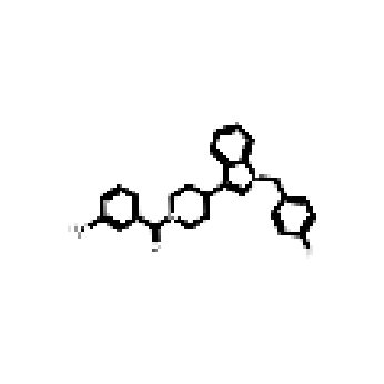 Cc1cccc(C(=O)N2CCC(c3cn(Cc4ccc(F)cc4)c4ccccc34)CC2)c1